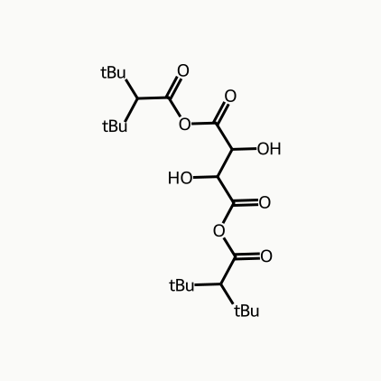 CC(C)(C)C(C(=O)OC(=O)C(O)C(O)C(=O)OC(=O)C(C(C)(C)C)C(C)(C)C)C(C)(C)C